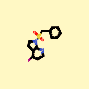 O=S(=O)(Cc1ccccc1)n1ccc2c(I)ccnc21